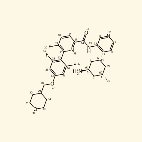 C[C@@H]1C[C@@H](N)C[C@H](c2ccncc2NC(=O)c2ccc(F)c(-c3c(F)cc(OCC4CCOCC4)cc3F)n2)C1